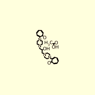 CC(=O)O.O=c1cccccc1N1CCN(CC(O)CN2CCN(c3cccccc3=O)CC2)CC1